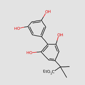 CCOC(=O)C(C)(C)c1cc(O)c(-c2cc(O)cc(O)c2)c(O)c1